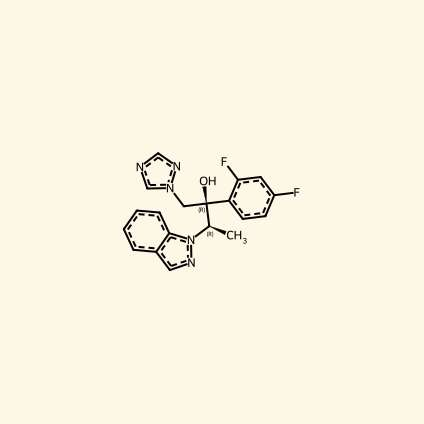 C[C@@H](n1ncc2ccccc21)[C@](O)(Cn1cncn1)c1ccc(F)cc1F